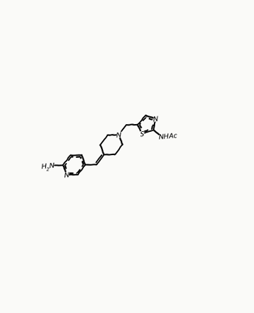 CC(=O)Nc1ncc(CN2CCC(=Cc3ccc(N)nc3)CC2)s1